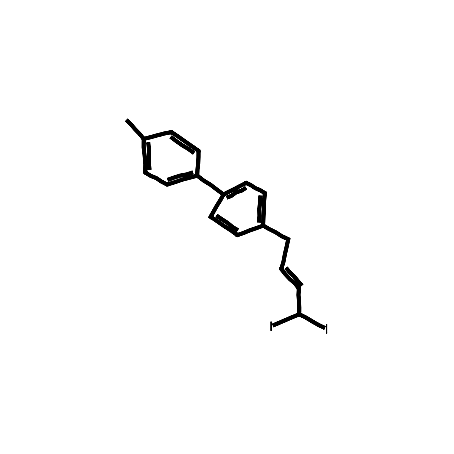 Cc1ccc(-c2ccc(CC=CC(I)I)cc2)cc1